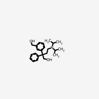 CC(C)N(CCC(CO)(c1ccccc1)c1cccc(CO)c1)C(C)C